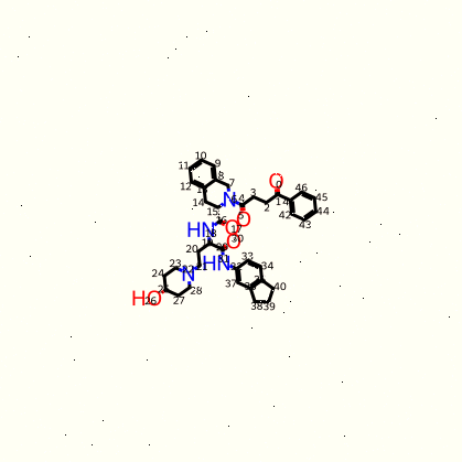 O=C(CCC(=O)N1Cc2ccccc2C[C@H]1C(=O)NC(CCN1CCC(O)CC1)C(=O)Nc1ccc2c(c1)CCC2)c1ccccc1